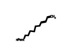 [CH2]CCCCCCCCCCC=CC=C